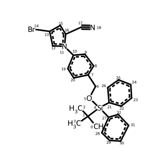 CC(C)(C)[Si](OCc1ccc(-n2cc(Br)cc2C#N)cc1)(c1ccccc1)c1ccccc1